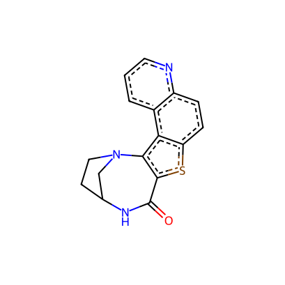 O=C1NC2CCN(C2)c2c1sc1ccc3ncccc3c21